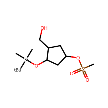 CC(C)(C)[Si](C)(C)OC1CC(OS(C)(=O)=O)CC1CO